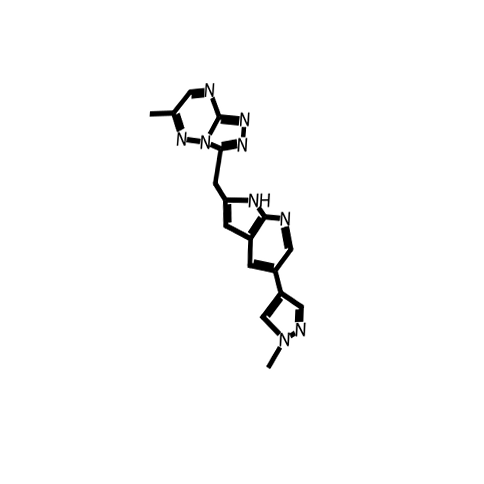 Cc1cnc2nnc(Cc3cc4cc(-c5cnn(C)c5)cnc4[nH]3)n2n1